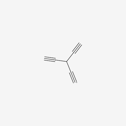 [C]#CC(C#C)C#C